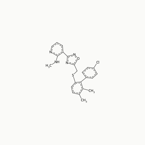 CNc1ncccc1-c1noc(CSc2ccc(C)c(C)c2-c2ccc(Cl)cc2)n1